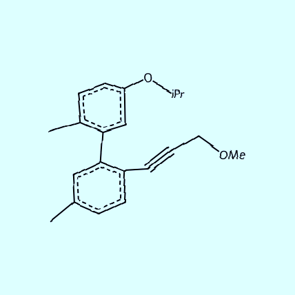 COCC#Cc1ccc(C)cc1-c1cc(OC(C)C)ccc1C